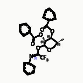 C[C@@H]1COC(O/C(=N/c2ccccc2)C(F)(F)F)[C@H](OC(=O)c2ccccc2)[C@H]1OC(=O)c1ccccc1